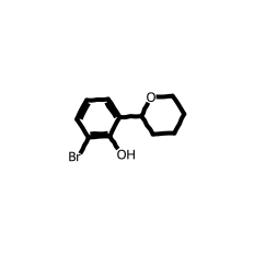 Oc1c(Br)cccc1C1CCCCO1